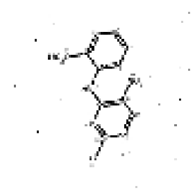 O=C(O)c1ccccc1Nc1nc(Cl)ncc1[N+](=O)[O-]